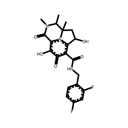 CC1N(C)C(=O)c2c(O)c(=O)c(C(=O)NCc3ccc(F)cc3F)c3n2C1(C)CC3O